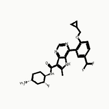 Cc1[nH]c2c(-c3cc(C(F)F)ccc3OCC3CC3)ncnc2c1C(=O)N[C@@H]1CC[C@@H](N)C[C@H]1F